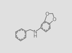 c1ccc(CNc2ccc3c(c2)OCO3)cc1